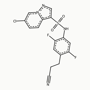 N#CCCc1cc(F)c(NS(=O)(=O)c2cnn3cc(Cl)ccc23)cc1F